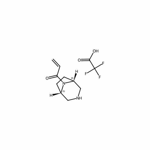 C=CC(=O)N1[C@@H]2CC[C@H]1CNC2.O=C(O)C(F)(F)F